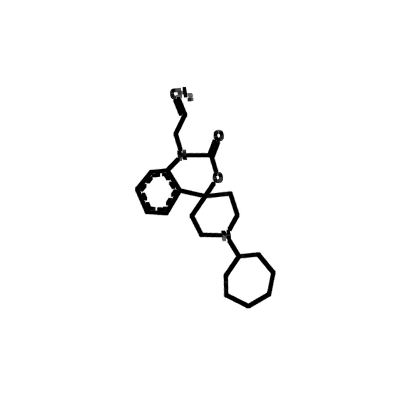 C=CCN1C(=O)OC2(CCN(C3CCCCCC3)CC2)c2ccccc21